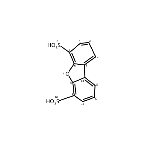 O=S(=O)(O)c1cccc2c1oc1c(S(=O)(=O)O)cccc12